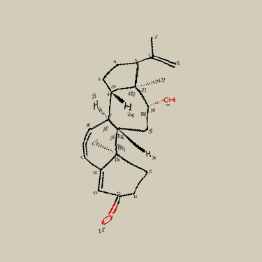 C=C(C)C1CC[C@H]2[C@@H]3C=CC4=CC(=O)CC[C@]4(C)[C@H]3C[C@@H](O)[C@]12C